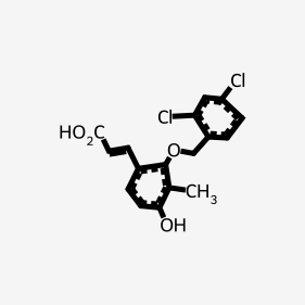 Cc1c(O)ccc(/C=C/C(=O)O)c1OCc1ccc(Cl)cc1Cl